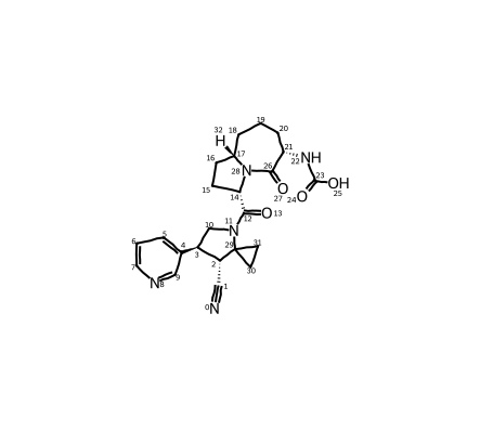 N#C[C@@H]1[C@@H](c2cccnc2)CN(C(=O)[C@@H]2CC[C@@H]3CCC[C@H](NC(=O)O)C(=O)N32)C12CC2